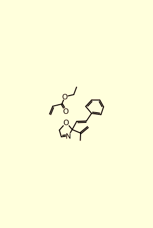 C=C(C)C1(C=Cc2ccccc2)N=CCO1.C=CC(=O)OCC